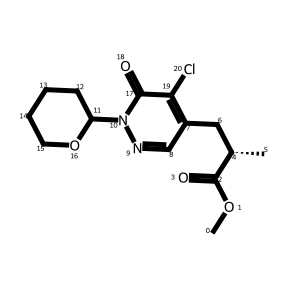 COC(=O)[C@@H](C)Cc1cnn(C2CCCCO2)c(=O)c1Cl